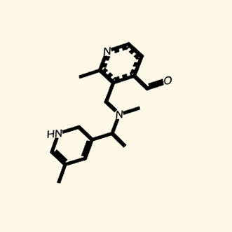 CC1=CNCC(C(C)N(C)Cc2c(C=O)ccnc2C)=C1